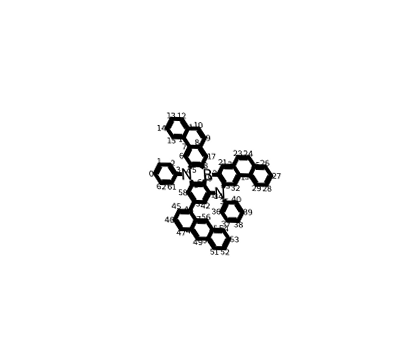 c1ccc(N2c3cc4c(ccc5ccccc54)cc3B3c4cc5ccc6ccccc6c5cc4N(c4ccccc4)c4cc(-c5cccc6cc7ccccc7cc56)cc2c43)cc1